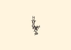 Cc1csc(-c2ccc(S(=O)(=O)Nc3cc(N4CC(C)NC(C)C4)ccc3F)cc2C)c1